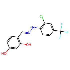 Oc1ccc(/C=N/Nc2ccc(C(F)(F)F)cc2Cl)c(O)c1